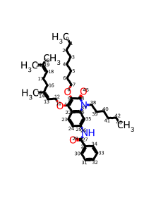 CCCCCCCCOc1c(OCC=C(C)CCC=C(C)C)c2ccc(NC(=O)c3ccccc3)cc2n(CCCCCC)c1=O